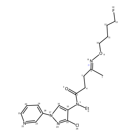 CCN(C(=O)CC/C(C)=N/OCCCCF)c1cn(-c2cccnc2)nc1Cl